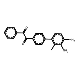 Cc1c(-c2ccc(C(=O)C(=O)c3ccccc3)cc2)ccc(N)c1N